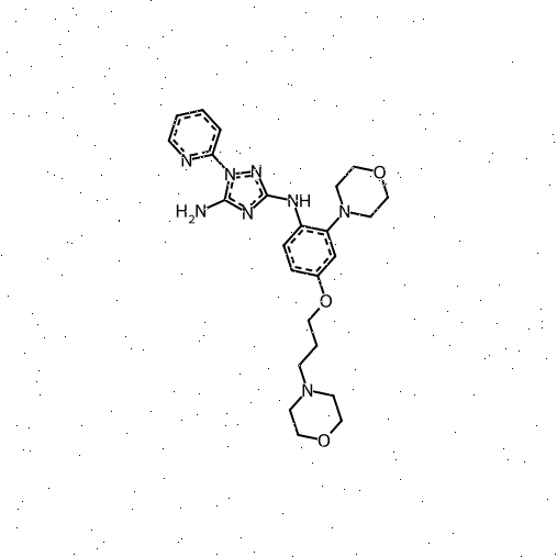 Nc1nc(Nc2ccc(OCCCN3CCOCC3)cc2N2CCOCC2)nn1-c1ccccn1